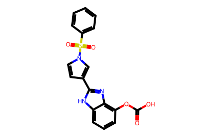 O=C(O)Oc1cccc2[nH]c(-c3ccn(S(=O)(=O)c4ccccc4)c3)nc12